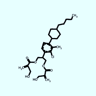 C=C(CO)C(=O)OCC(COC(=O)C(=C)CO)c1ccc(C2CCC(CCCCC)CC2)c(C)c1Cl